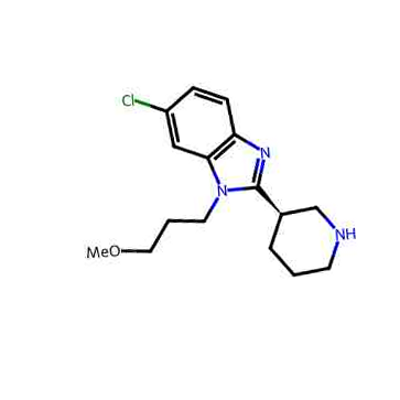 COCCCn1c([C@@H]2CCCNC2)nc2ccc(Cl)cc21